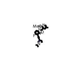 C=C/C(C#Cc1c(F)ccc(NC(=O)c2cc(C)cnc2OC)c1F)=C\N=C(C)C